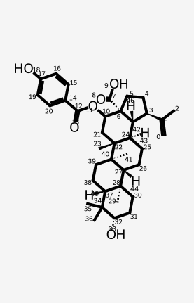 C=C(C)[C@@H]1CC[C@]2(C(=O)O)C(OC(=O)c3ccc(O)cc3)C[C@]3(C)[C@H](CC[C@@H]4[C@@]5(C)CC[C@H](O)C(C)(C)[C@@H]5CC[C@]43C)[C@@H]12